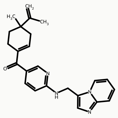 C=C(C)C1(C)CC=C(C(=O)c2ccc(NCc3cnc4ccccn34)nc2)CC1